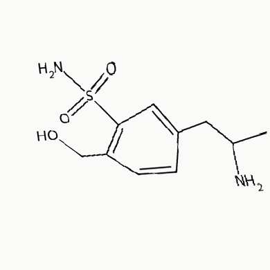 CC(N)Cc1ccc(CO)c(S(N)(=O)=O)c1